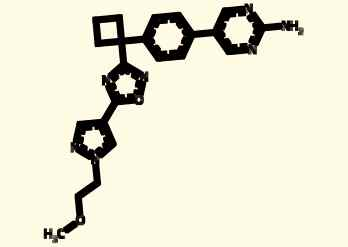 COCCn1cc(-c2nc(C3(c4ccc(-c5cnc(N)nc5)cc4)CCC3)no2)cn1